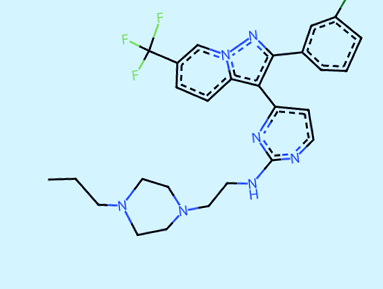 CCCN1CCN(CCNc2nccc(-c3c(-c4cccc(Cl)c4)nn4cc(C(F)(F)F)ccc34)n2)CC1